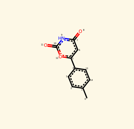 Cc1ccc(-c2cc(=O)[nH]c(=O)o2)cc1